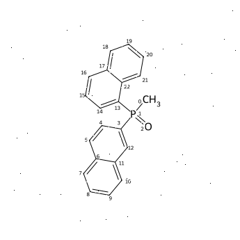 CP(=O)(c1ccc2ccccc2c1)c1cccc2ccccc12